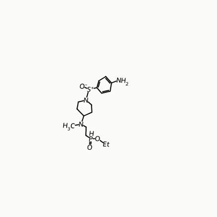 CCO[PH](=O)CCN(C)C1CCN([S+]([O-])c2ccc(N)cc2)CC1